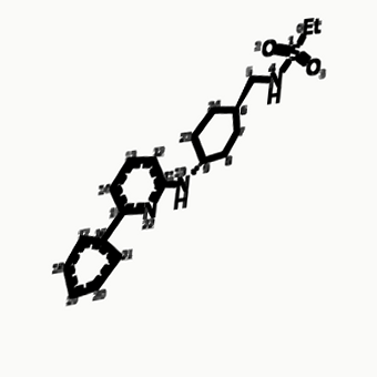 CCS(=O)(=O)NC[C@H]1CC[C@H](Nc2cccc(-c3ccccc3)n2)CC1